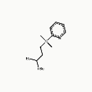 CCCCC(CC)CC[Si](C)(C)c1ccccn1